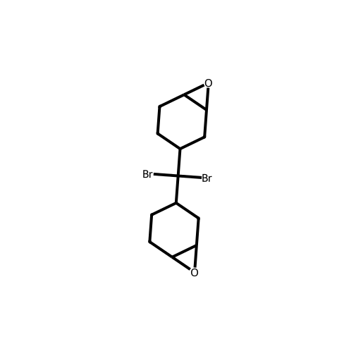 BrC(Br)(C1CCC2OC2C1)C1CCC2OC2C1